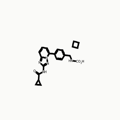 C1CCC1.O=C(O)NCc1ccc(-c2cccc3nc(NC(=O)C4CC4)nn23)cc1